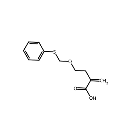 C=C(CCOCSc1ccccc1)C(=O)O